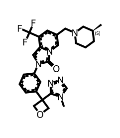 C[C@H]1CCCN(Cc2cc(C(F)(F)F)c3cn(-c4cccc(C5(c6nncn6C)COC5)c4)c(=O)n3c2)C1